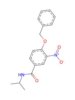 CC(C)NC(=O)c1ccc(OCc2ccccc2)c([N+](=O)[O-])c1